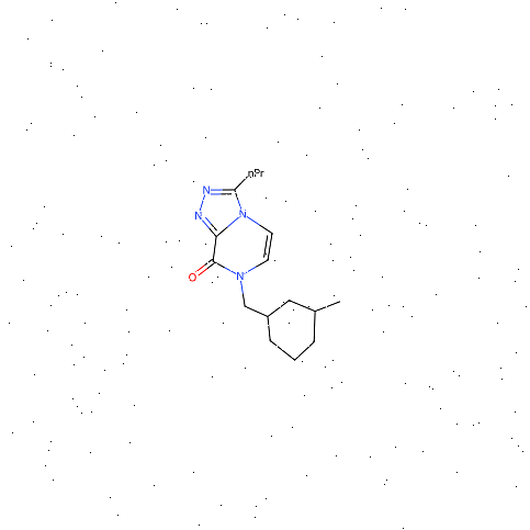 CCCc1nnc2c(=O)n(CC3CCCC(C)C3)ccn12